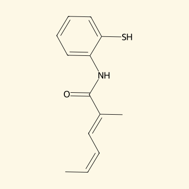 C/C=C\C=C(/C)C(=O)Nc1ccccc1S